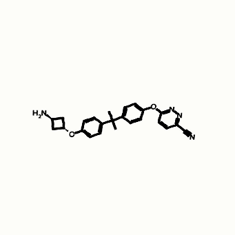 CC(C)(c1ccc(Oc2ccc(C#N)nn2)cc1)c1ccc(O[C@H]2C[C@H](N)C2)cc1